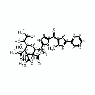 CC(=O)C(O)[C@H]1O[C@@H](Nc2ncc(C(=O)c3sc(-c4cnccn4)nc3C)s2)[C@](O)(C(C)=O)[C@](O)(C(C)=O)[C@@]1(O)C(C)=O